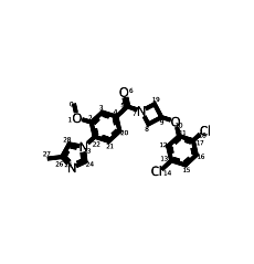 COc1cc(C(=O)N2CC(Oc3cc(Cl)ccc3Cl)C2)ccc1-n1cnc(C)c1